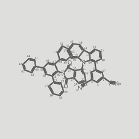 N#Cc1cc(C#N)cc(-c2cccc3c4ccccc4n(-c4cccc5c4C(=O)N(c4c(-c6ccccc6)cc(-c6ccccc6)cc4-c4ccccc4)C5=O)c23)c1